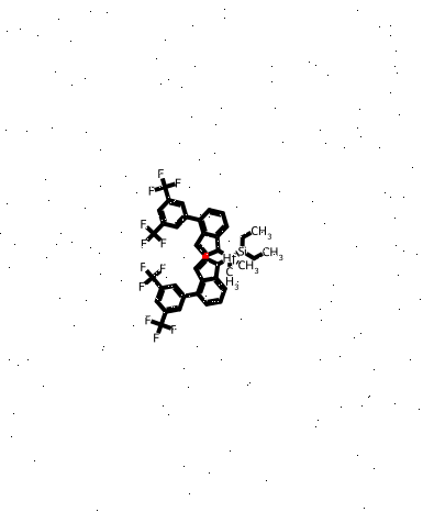 CC[Si](CC)=[Hf]([CH3])([CH3])([CH]1C=Cc2c(-c3cc(C(F)(F)F)cc(C(F)(F)F)c3)cccc21)[CH]1C=Cc2c(-c3cc(C(F)(F)F)cc(C(F)(F)F)c3)cccc21